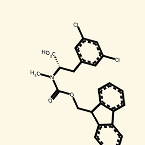 CN(C(=O)OCC1c2ccccc2-c2ccccc21)[C@@H](Cc1cc(Cl)cc(Cl)c1)C(=O)O